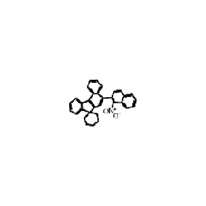 O=[N+]([O-])c1c(-c2cc3c(c4ccccc24)-c2ccccc2C32CCCCC2)ccc2ccccc12